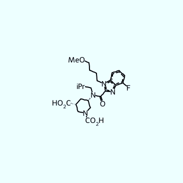 COCCCCn1c(C(=O)N(CC(C)C)[C@H]2C[C@@H](C(=O)O)CN(C(=O)O)C2)nc2c(F)cccc21